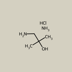 CC(C)(O)CN.Cl.N